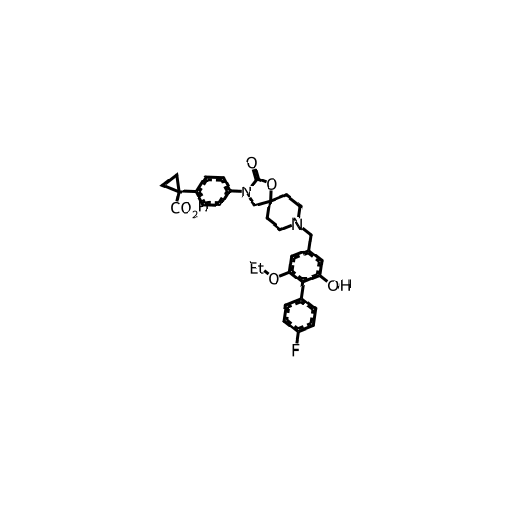 CCOc1cc(CN2CCC3(CC2)CN(c2ccc(C4(C(=O)O)CC4)cc2)C(=O)O3)cc(O)c1-c1ccc(F)cc1